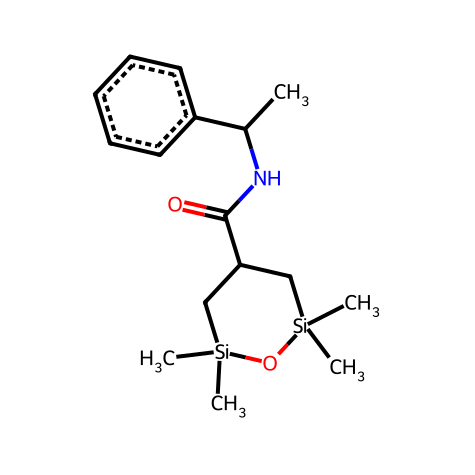 CC(NC(=O)C1C[Si](C)(C)O[Si](C)(C)C1)c1ccccc1